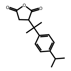 CC(C)c1ccc(C(C)(C)C2CC(=O)OC2=O)cc1